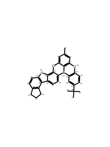 Cc1cc2c3c(c1)Oc1c(ccc4c1oc1ccc5c(c14)CCC5)B3c1cc(C(C)(C)C)ccc1O2